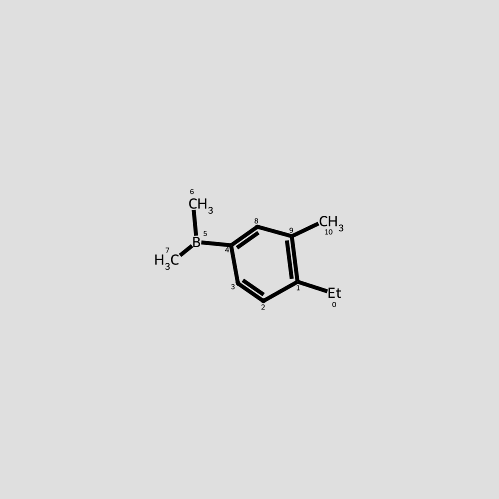 CCc1ccc(B(C)C)cc1C